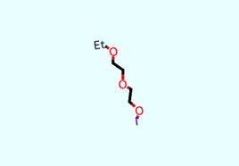 CCOCCOCCOI